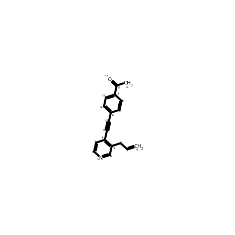 C=CCc1cnccc1C#Cc1ccc(C(C)=O)cc1